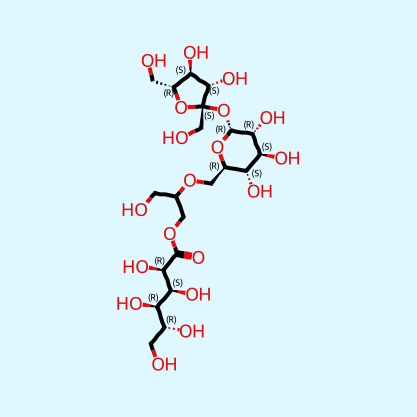 O=C(OCC(CO)OC[C@H]1O[C@H](O[C@]2(CO)O[C@H](CO)[C@@H](O)[C@@H]2O)[C@H](O)[C@@H](O)[C@@H]1O)[C@H](O)[C@@H](O)[C@H](O)[C@H](O)CO